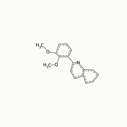 COc1cccc(-c2ccc3ccccc3n2)c1OC